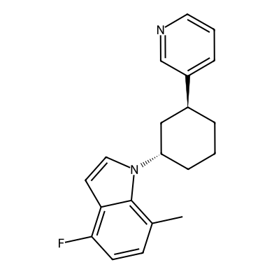 Cc1ccc(F)c2ccn([C@H]3CCC[C@H](c4cccnc4)C3)c12